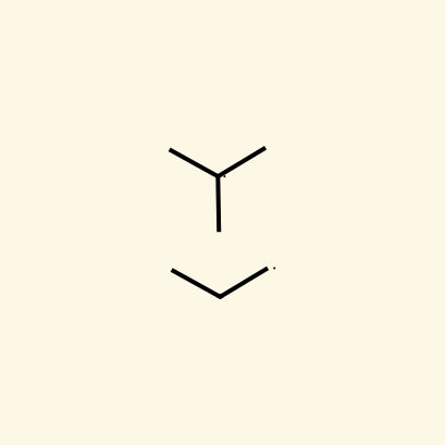 C[C](C)C.[CH2]CC